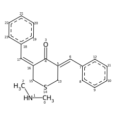 CNC.O=C1C(=Cc2ccccc2)CSCC1=Cc1ccccc1